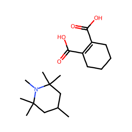 CC1CC(C)(C)N(C)C(C)(C)C1.O=C(O)C1=C(C(=O)O)CCCC1